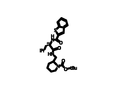 CC(C)C[C@H](NC(=O)c1cc2ccccc2s1)C(=O)NCC1CCCCN1C(=O)OC(C)(C)C